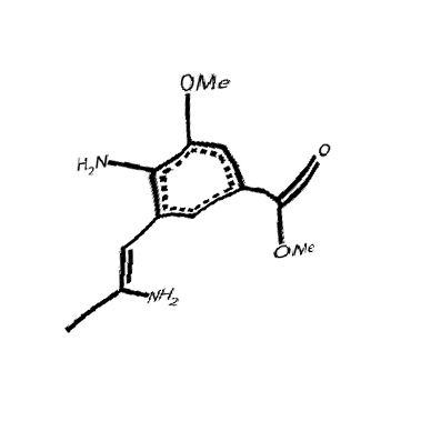 COC(=O)c1cc(/C=C(/C)N)c(N)c(OC)c1